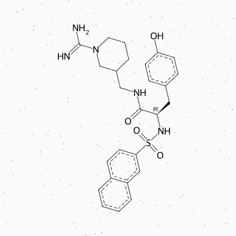 N=C(N)N1CCCC(CNC(=O)[C@@H](Cc2ccc(O)cc2)NS(=O)(=O)c2ccc3ccccc3c2)C1